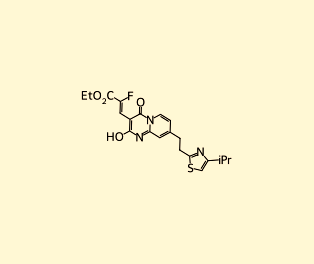 CCOC(=O)C(F)=Cc1c(O)nc2cc(CCc3nc(C(C)C)cs3)ccn2c1=O